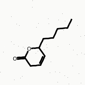 CCCCCC1C=CCC(=O)O1